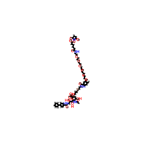 CC(=O)N[C@H]1[C@H]([C@H](O)[C@H](O)CNC(=O)c2ccc(-c3ccccc3)cc2)O[C@@](OCCCSCCNC(=O)c2ccc(C)c(OCCOCCOCCOCCOCCOCCNC(=O)CCCCC(=O)ON3C(=O)CCC3=O)c2)(C(=O)O)C[C@@H]1O